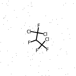 F[C](C(F)(F)Cl)C(F)(Cl)Cl